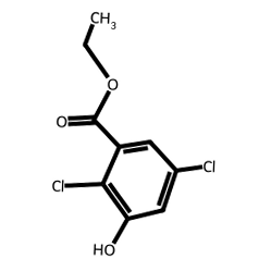 CCOC(=O)c1cc(Cl)cc(O)c1Cl